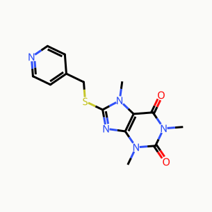 Cn1c(=O)c2c(nc(SCc3ccncc3)n2C)n(C)c1=O